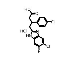 Cl.O=C(O)CC(Cc1nc2cc(Cl)c(F)cc2[nH]1)c1ccc(Cl)cc1